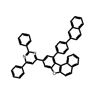 c1ccc(-c2cc(-c3cc(-c4ccc(-c5ccc6ccccc6c5)cc4)c4c(c3)oc3ccc5ccccc5c34)nc(-c3ccccc3)n2)cc1